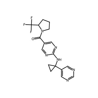 O=C(c1cnc(NC2(c3cncnc3)CC2)nc1)N1CCCC1C(F)(F)F